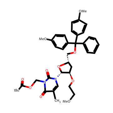 COCCO[C@@H]1C[C@@H](COC(c2ccccc2)(c2ccc(OC)cc2)c2ccc(OC)cc2)O[C@H]1n1cc(C)c(=O)n(COC(=O)C(C)(C)C)c1=O